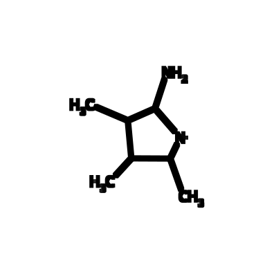 CC1[N]C(N)C(C)C1C